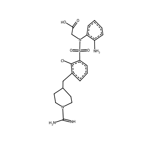 N=C(N)N1CCC(Cc2cccc(S(=O)(=O)N(CC(=O)O)c3ccccc3N)c2Cl)CC1